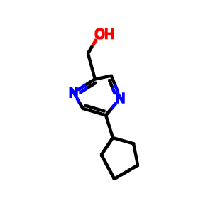 OCc1cnc(C2CCCC2)cn1